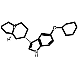 c1cc2[nH]cc([C@H]3CCN4CCC[C@@H]4C3)c2cc1OC1CCCCC1